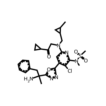 CC1CC1CN(CC(=O)C1CC1)c1cc(-c2nnc(C(C)(N)Cc3ccccc3)o2)c(Cl)c(N(C)S(C)(=O)=O)n1